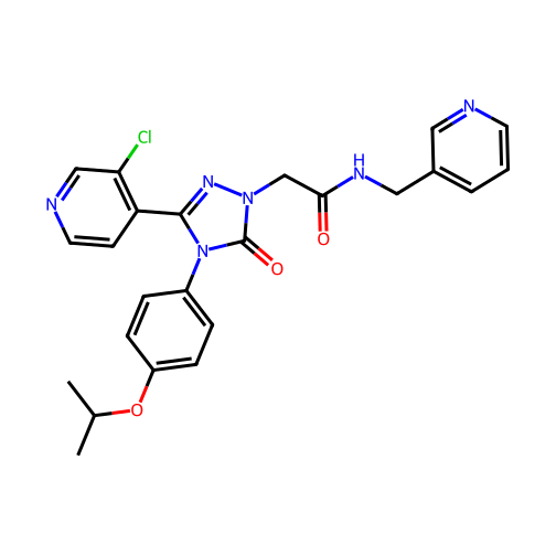 CC(C)Oc1ccc(-n2c(-c3ccncc3Cl)nn(CC(=O)NCc3cccnc3)c2=O)cc1